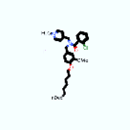 CCCCCCCCCCCCCCCCOc1ccc(CN(Cc2cc[n+](C)cc2)C(=O)c2ccccc2Cl)cc1OC.[I-]